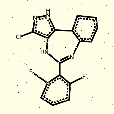 Fc1cccc(F)c1C1=Nc2ccccc2-c2[nH]nc(Cl)c2N1